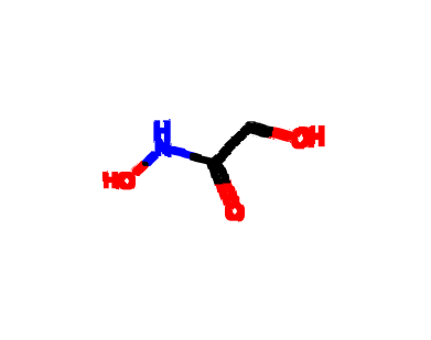 O=C(CO)NO